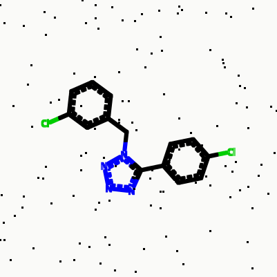 Clc1ccc(-c2nnnn2Cc2cccc(Cl)c2)cc1